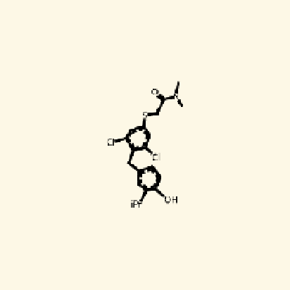 CC(C)c1cc(Cc2c(Cl)cc(SCC(=O)N(C)C)cc2Cl)ccc1O